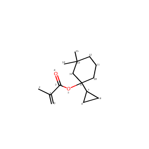 C=C(C)C(=O)OC1(C2CC2)CCCC(C)(C)C1